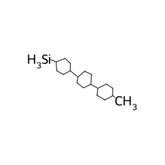 CC1CCC(C2CCC(C3CCC([SiH3])CC3)CC2)CC1